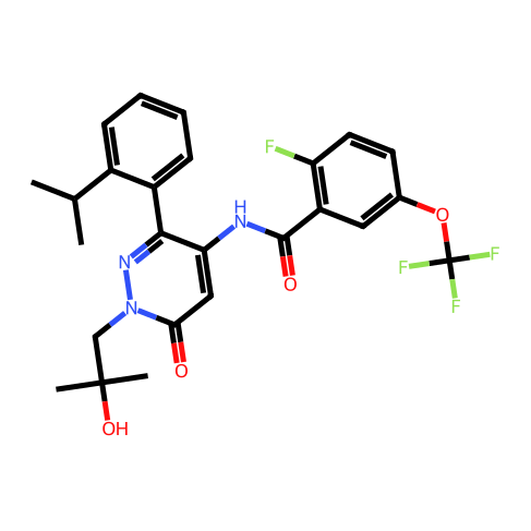 CC(C)c1ccccc1-c1nn(CC(C)(C)O)c(=O)cc1NC(=O)c1cc(OC(F)(F)F)ccc1F